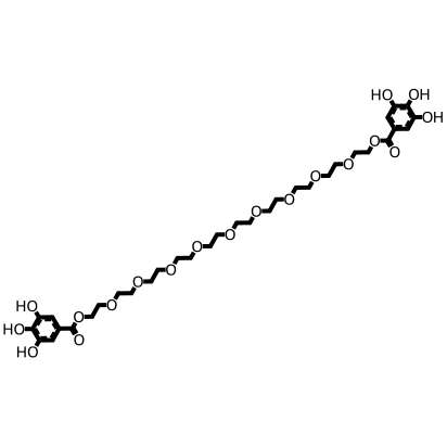 O=C(OCCOCCOCCOCCOCCOCCOCCOCCOCCOCCOC(=O)c1cc(O)c(O)c(O)c1)c1cc(O)c(O)c(O)c1